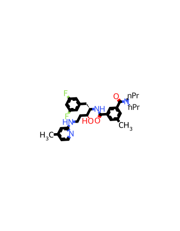 CCCN(CCC)C(=O)c1cc(C)cc(C(=O)N[C@@H](Cc2cc(F)cc(F)c2)[C@H](O)CCNc2cc(C)ccn2)c1